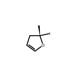 C[C@]1(I)CC=CO1